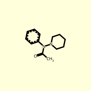 CC(=O)N(c1ccccc1)N1CCCCC1